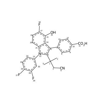 CC(C)(CC#N)c1c(-c2ccc(C(=O)O)cc2)c2c(O)c(F)ccc2n1-c1ccc(F)c(F)c1